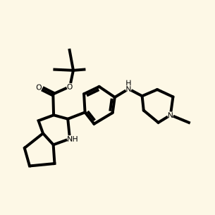 CN1CCC(Nc2ccc(C3NC4CCCC4CC3C(=O)OC(C)(C)C)cc2)CC1